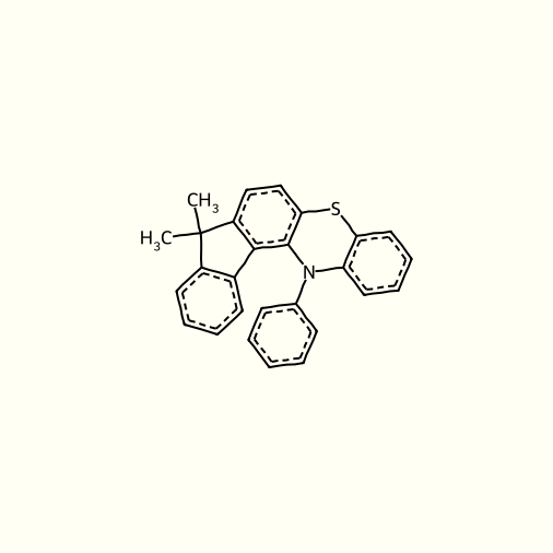 CC1(C)c2ccccc2-c2c1ccc1c2N(c2ccccc2)c2ccccc2S1